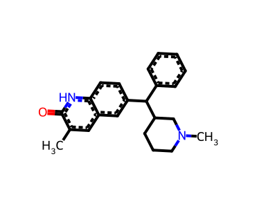 Cc1cc2cc(C(c3ccccc3)C3CCCN(C)C3)ccc2[nH]c1=O